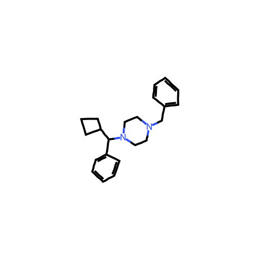 c1ccc(CN2CCN(C(c3ccccc3)C3CCC3)CC2)cc1